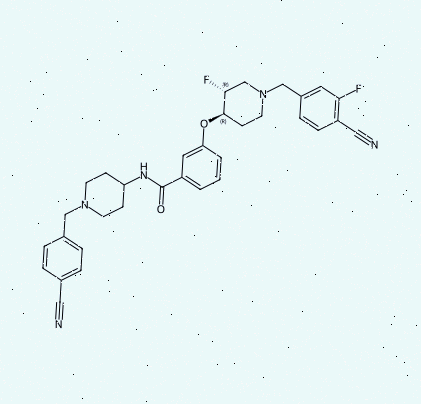 N#Cc1ccc(CN2CCC(NC(=O)c3cccc(O[C@@H]4CCN(Cc5ccc(C#N)c(F)c5)C[C@H]4F)c3)CC2)cc1